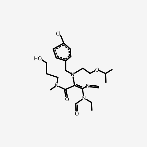 C=N/C(=C(/C(=O)N(C)CCCO)N(CCOC(C)C)Cc1ccc(Cl)cc1)N(C=O)CC